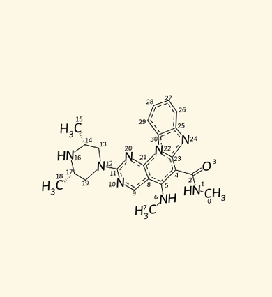 CNC(=O)c1c(NC)c2cnc(N3C[C@@H](C)N[C@@H](C)C3)nc2n2c1nc1ccccc12